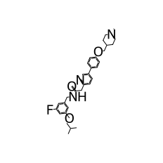 CC(C)COc1cc(F)cc(CNC(=O)Cc2ccc(-c3ccc(OCC4CCN(C)CC4)cc3)cn2)c1